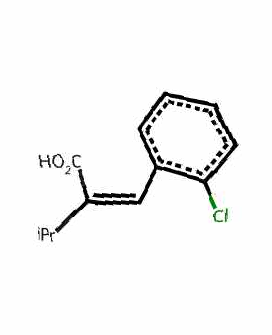 CC(C)C(=Cc1ccccc1Cl)C(=O)O